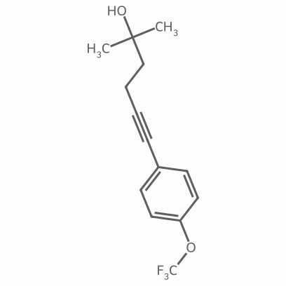 CC(C)(O)CCC#Cc1ccc(OC(F)(F)F)cc1